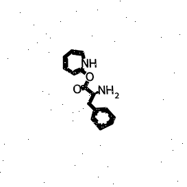 N[C@@H](Cc1ccccc1)C(=O)OC1=CC=CC=CN1